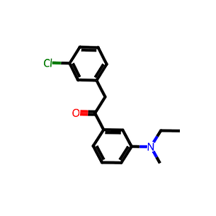 CCN(C)c1cccc(C(=O)Cc2cccc(Cl)c2)c1